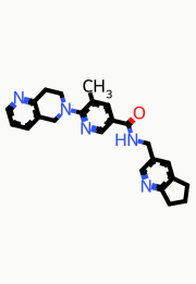 Cc1cc(C(=O)NCc2cnc3c(c2)CCC3)cnc1N1CCc2ncccc2C1